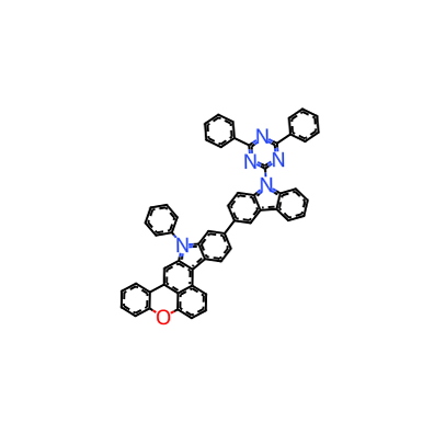 c1ccc(-c2nc(-c3ccccc3)nc(-n3c4ccccc4c4cc(-c5ccc6c7c8cccc9c8c(cc7n(-c7ccccc7)c6c5)-c5ccccc5O9)ccc43)n2)cc1